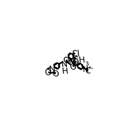 [C-]#[N+]c1ccc(S(=O)(=O)N(CC(=O)NCc2ccc(N3CCOCC3=O)cc2)c2cccc(Cl)c2C)cc1